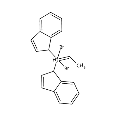 C[CH]=[Hf]([Br])([Br])([CH]1C=Cc2ccccc21)[CH]1C=Cc2ccccc21